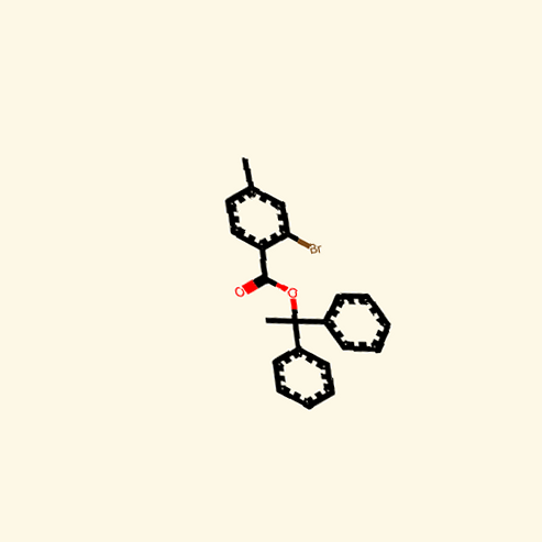 Cc1ccc(C(=O)OC(C)(c2ccccc2)c2ccccc2)c(Br)c1